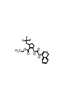 CCOC(=O)C1=C(NC(=O)Nc2cncc3ccccc23)CCC1CC(F)(F)F